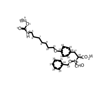 CC(C)(C)OC(=O)NCCCCCCCOc1ccc(CC(C(=O)O)N(C=O)OCc2ccccc2)cc1